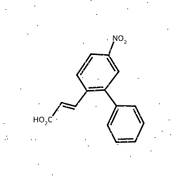 O=C(O)C=Cc1ccc([N+](=O)[O-])cc1-c1ccccc1